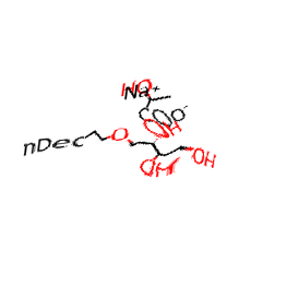 CC(O)C(=O)[O-].CCCCCCCCCCCCOC[C@H](O)[C@H](O)CO.[Na+]